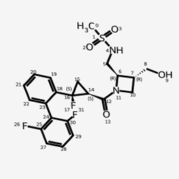 CS(=O)(=O)NC[C@H]1[C@H](CO)CN1C(=O)[C@@H]1C[C@@]1(F)c1ccccc1-c1c(F)cccc1F